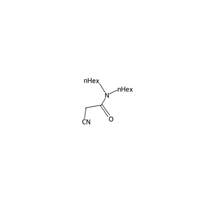 CCCCCCN(CCCCCC)C(=O)CC#N